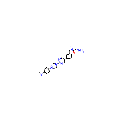 CN(Cc1cccc(-c2cnc(N3CCN(c4ccc(N(C)C)cc4)CC3)nc2)c1)C(=O)CN